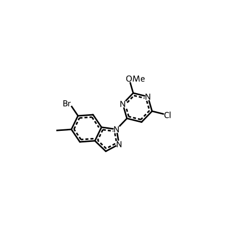 COc1nc(Cl)cc(-n2ncc3cc(C)c(Br)cc32)n1